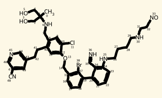 CC(CO)(CO)NCc1cc(Cl)c(OCc2cccc(-c3cccc(NCCCCNCCN=O)c3C=N)c2Br)cc1CCc1cncc(C#N)c1